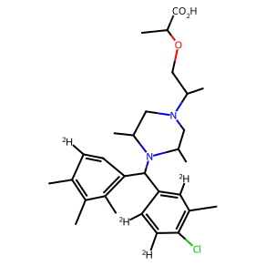 [2H]c1cc(C(c2c([2H])c([2H])c(Cl)c(C)c2[2H])N2C(C)CN(C(C)COC(C)C(=O)O)CC2C)c(C)c(C)c1C